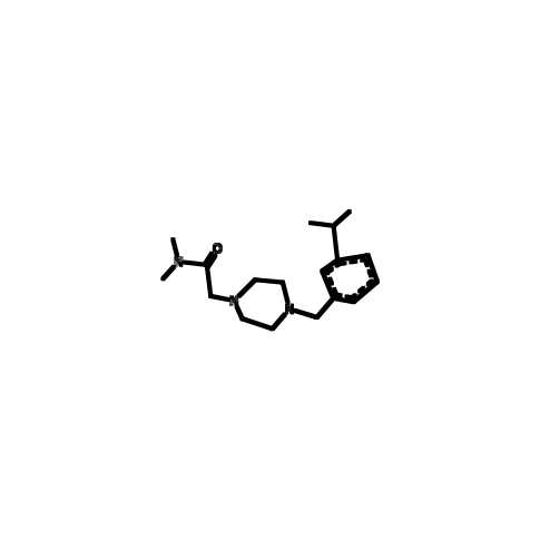 CC(C)c1cccc(CN2CCN(CC(=O)N(C)C)CC2)c1